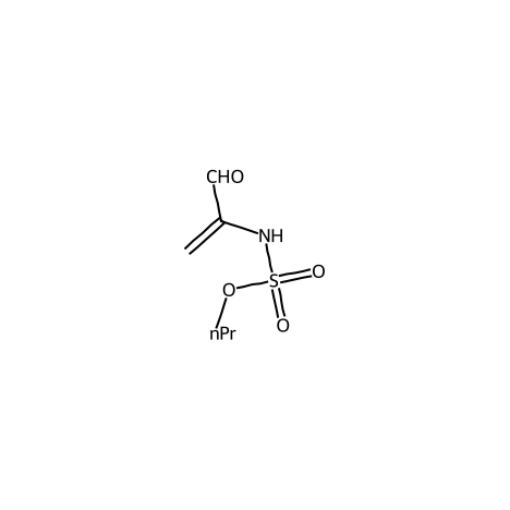 C=C(C=O)NS(=O)(=O)OCCC